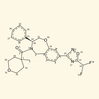 CC1(C(=O)N2Cc3ccc(-c4noc(C(F)F)n4)cc3OC[C@@H]2c2ccccc2)CCOCC1